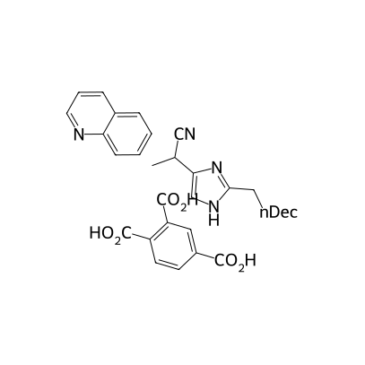 CCCCCCCCCCCc1nc(C(C)C#N)c[nH]1.O=C(O)c1ccc(C(=O)O)c(C(=O)O)c1.c1ccc2ncccc2c1